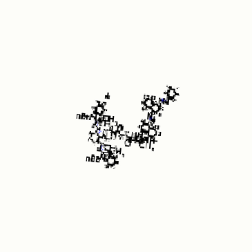 CCCCN1/C(=C/C=C2\CCCC(/C=C/C3=[N+](CCCC)c4ccccc4C3(C)C)=C2N2CCN(C(=O)CCC(=O)OCC3(C)Nc4cccc5c(/N=N/c6ccc(/N=N/c7ccccc7)c7ccccc67)ccc(c45)N3)CC2)C(C)(C)c2ccccc21.[I-]